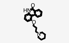 O=c1[nH]c2cccc(OCCCN3CCCCC3)c2c2ccccc12